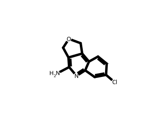 Nc1nc2cc(Cl)[c]cc2c2c1COC2